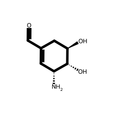 N[C@@H]1C=C(C=O)C[C@@H](O)[C@@H]1O